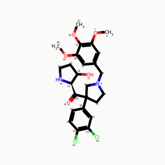 COc1cc(CN2CCC(C(=O)[C@H]3NCCC3O)(c3ccc(Cl)c(Cl)c3)C2)cc(OC)c1OC